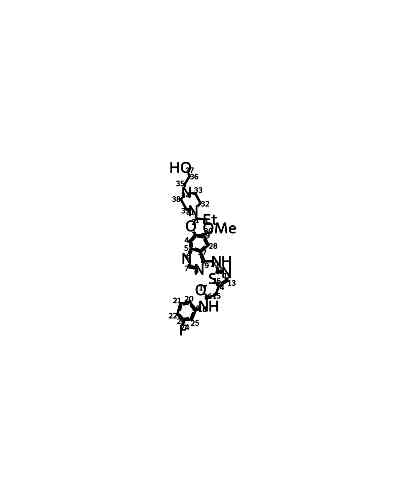 CCC(Oc1cc2ncnc(Nc3ncc(CC(=O)Nc4cccc(F)c4)s3)c2cc1OC)N1CCN(CCO)CC1